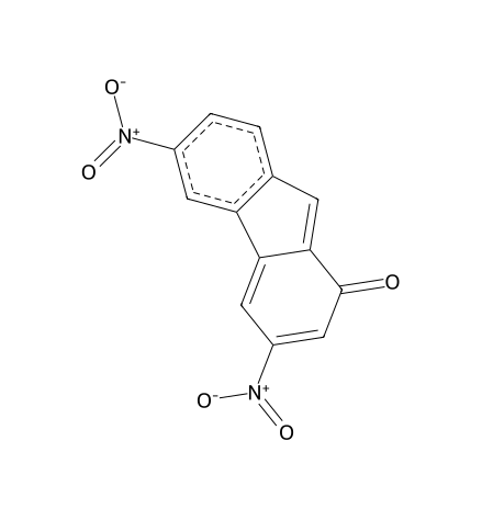 O=C1C=C([N+](=O)[O-])C=C2C1=Cc1ccc([N+](=O)[O-])cc12